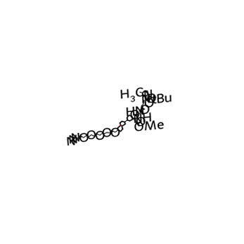 COC(=O)C[C@H](NC(=O)CNC(=O)CCCN(C(=O)OC(C)(C)C)c1cc(C)ccn1)c1cccc(-c2ccc3cc(OCCOCCOCCOCCOCCN=[N+]=[N-])ccc3c2)c1